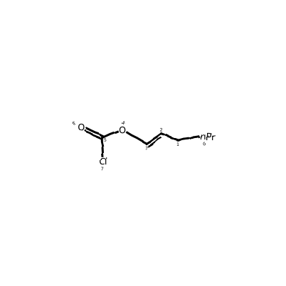 CCCCC=COC(=O)Cl